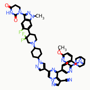 COc1ccc(CN2C3CC2CN(c2ccc(-c4nc(-c5cnn(C6CCC(N7CCC(c8cc9c(cc8F)c(N8CCC(=O)NC8=O)nn9C)C(F)(F)C7)CC6)c5)cn5ncc(C#N)c45)cn2)C3)cn1